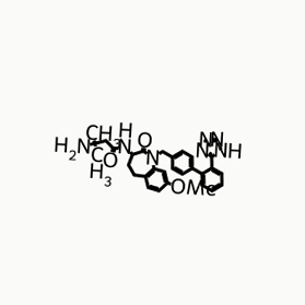 COc1ccc2c(c1)N(Cc1ccc(-c3ccccc3-c3nnn[nH]3)cc1)C(=O)C(NC(=O)CC(C)(C)N)CC2